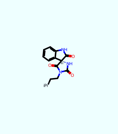 CC(C)CCN1C(=O)N[C@]2(C(=O)Nc3ccccc32)C1=O